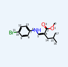 COC(=O)C(=CNc1ccc(Br)cc1)CC(C)C